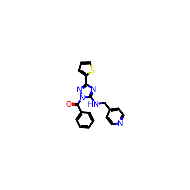 O=C(c1ccccc1)n1nc(-c2cccs2)nc1NCc1ccncc1